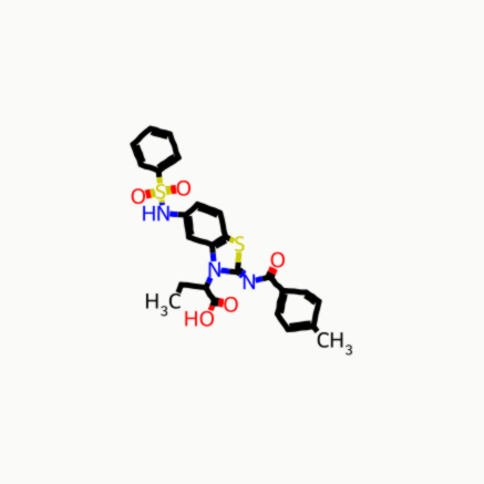 CCC(C(=O)O)n1c(=NC(=O)c2ccc(C)cc2)sc2ccc(NS(=O)(=O)c3ccccc3)cc21